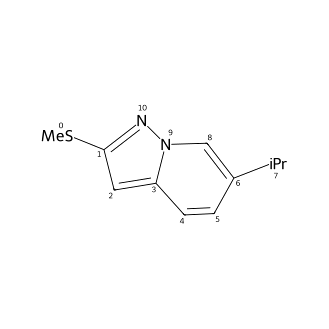 CSc1cc2ccc(C(C)C)cn2n1